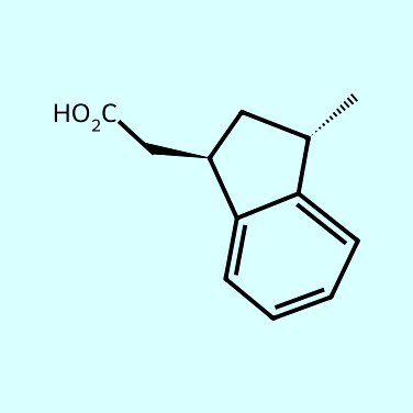 C[C@H]1C[C@H](CC(=O)O)c2ccccc21